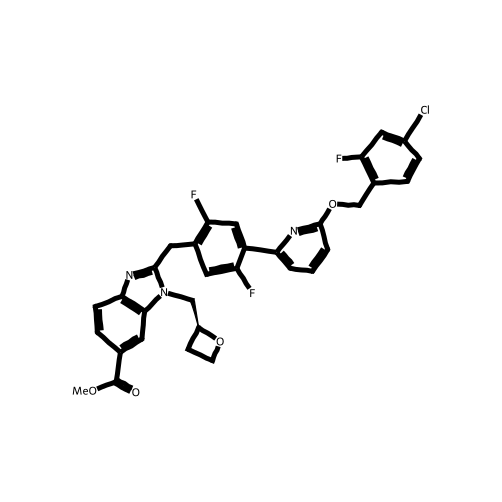 COC(=O)c1ccc2nc(Cc3cc(F)c(-c4cccc(OCc5ccc(Cl)cc5F)n4)cc3F)n(C[C@@H]3CCO3)c2c1